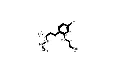 CPN[C@H](C)CCc1ccc(F)cc1OCCO